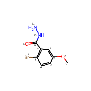 COc1ccc(Br)c(C(=O)NN)c1